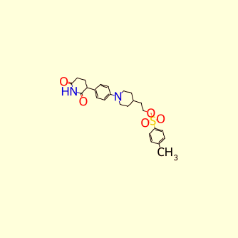 Cc1ccc(S(=O)(=O)OCCC2CCN(c3ccc(C4CCC(=O)NC4=O)cc3)CC2)cc1